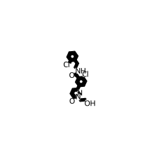 O=C(NCCc1ccccc1Cl)c1cc(-c2ccc(=O)n(CCO)n2)ccc1Cl